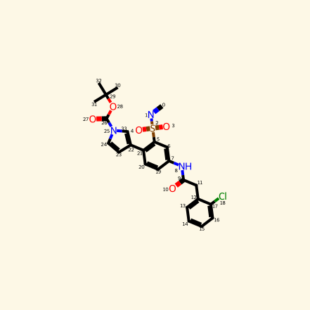 C=NS(=O)(=O)c1cc(NC(=O)Cc2ccccc2Cl)ccc1-c1ccn(C(=O)OC(C)(C)C)c1